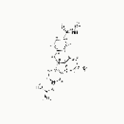 C=C(O)CN1CCc2c(c3cc(Br)ccc3n2Cc2ccc(C(=O)NO)cc2)C1